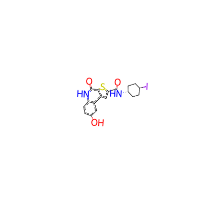 O=C(N[C@H]1CC[C@H](I)CC1)c1cc2c(s1)c(=O)[nH]c1ccc(O)cc12